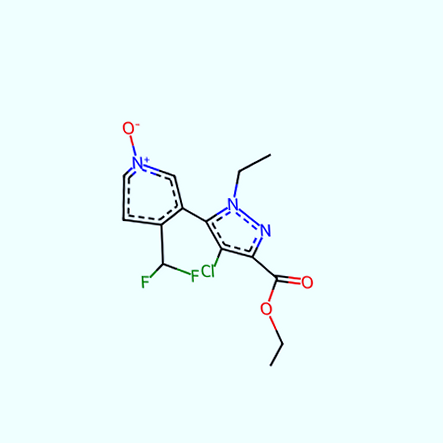 CCOC(=O)c1nn(CC)c(-c2c[n+]([O-])ccc2C(F)F)c1Cl